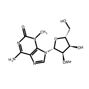 CO[C@@H]1[C@H](O)[C@@H](CO)O[C@H]1n1cnc2c(N)nc(=O)n(C)c21